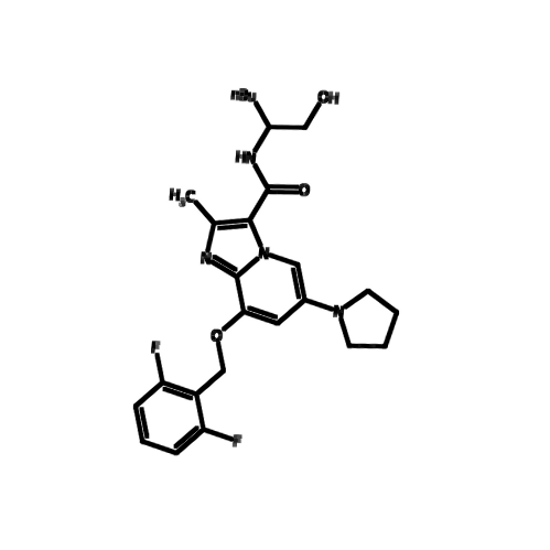 CCCCC(CO)NC(=O)c1c(C)nc2c(OCc3c(F)cccc3F)cc(N3CCCC3)cn12